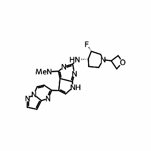 CNc1nc(N[C@H]2CCN(C3COC3)C[C@H]2F)nc2[nH]cc(-c3ccn4nccc4n3)c12